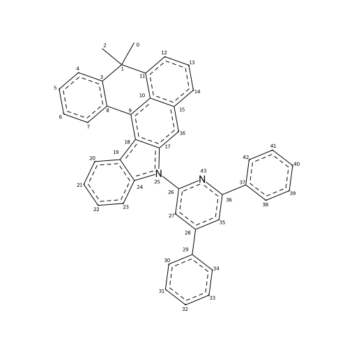 CC1(C)c2ccccc2-c2c3c1cccc3cc1c2c2ccccc2n1-c1cc(-c2ccccc2)cc(-c2ccccc2)n1